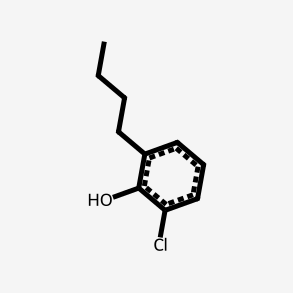 CCCCc1cccc(Cl)c1O